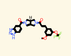 COc1cc(/C=C/C(=O)N2CC3=CN(C(=O)c4ccc5[nH]nnc5c4)C[C@H]3C2)cc(OC(F)(F)F)c1